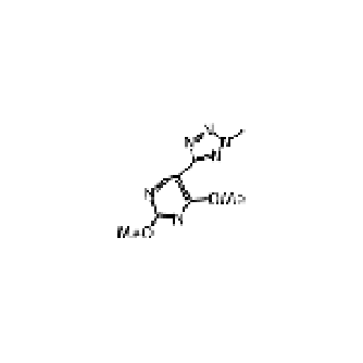 COc1ncc(-c2nnn(C)n2)c(OC)n1